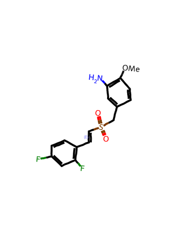 COc1ccc(CS(=O)(=O)/C=C/c2ccc(F)cc2F)cc1N